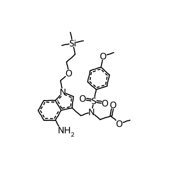 COC(=O)CN(Cc1cn(COCC[Si](C)(C)C)c2cccc(N)c12)S(=O)(=O)c1ccc(OC)cc1